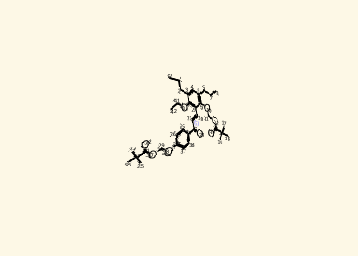 CCCc1cc(CCC)c(OCOC(=O)C(C)(C)C)c(/C=C/C(=O)c2ccc(OCOC(=O)C(C)(C)C)cc2)c1OCC